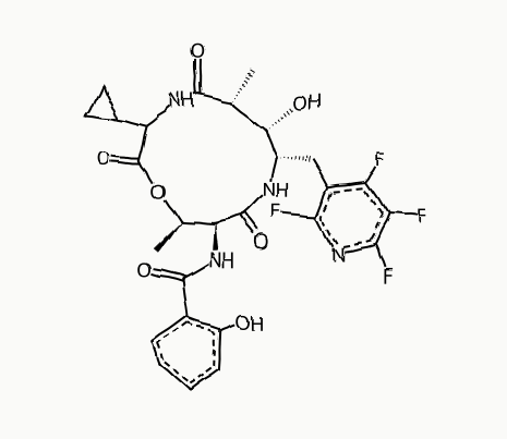 C[C@H]1OC(=O)C(C2CC2)NC(=O)[C@H](C)[C@H](O)[C@H](Cc2c(F)nc(F)c(F)c2F)NC(=O)[C@H]1NC(=O)c1ccccc1O